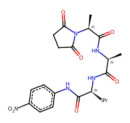 CC(C)[C@H](NC(=O)[C@H](C)NC(=O)[C@H](C)N1C(=O)CCC1=O)C(=O)Nc1ccc([N+](=O)[O-])cc1